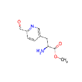 COC(=O)[C@@H](N)Cc1ccc(C=O)nc1